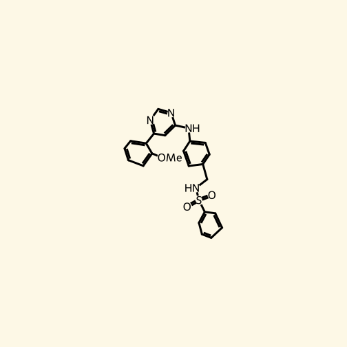 COc1ccccc1-c1cc(Nc2ccc(CNS(=O)(=O)c3ccccc3)cc2)ncn1